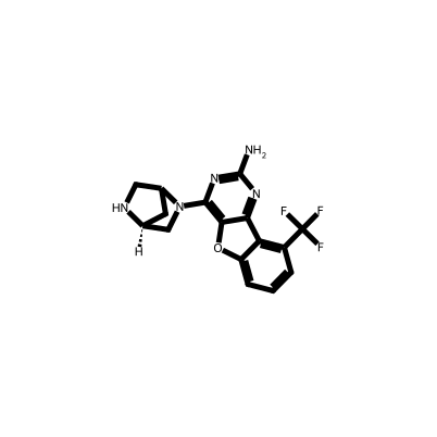 Nc1nc(N2C[C@@H]3CC2CN3)c2oc3cccc(C(F)(F)F)c3c2n1